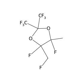 CC1(F)OC(C(F)(F)F)(C(F)(F)F)OC1(F)CF